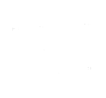 C=CC(=O)OC1CC(CC)CC(CC)(CC)C1